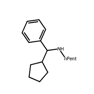 CCCCCNC(c1ccccc1)C1CCCC1